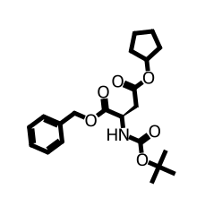 CC(C)(C)OC(=O)N[C@H](CC(=O)OC1CCCC1)C(=O)OCc1ccccc1